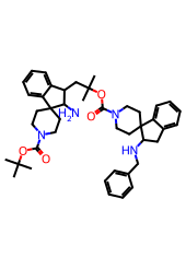 CC(C)(C)OC(=O)N1CCC2(CC1)c1ccccc1C(CC(C)(C)OC(=O)N1CCC3(CC1)c1ccccc1CC3NCc1ccccc1)C2N